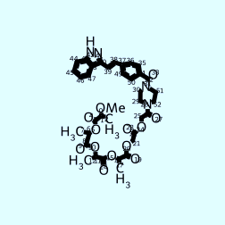 COC(C)C(=O)OC(C)C(=O)OC(C)C(=O)OC(C)C(=O)OCC(=O)OCC(=O)N1CCN(C(=O)c2ccc(/C=C/c3n[nH]c4ccccc34)cc2)CC1